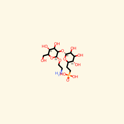 NCCO[C@H]1OC(CO)[C@@H](O)C(O)C1O[C@H]1OC(CCP(=O)(O)O)[C@@H](O)C(O)C1O